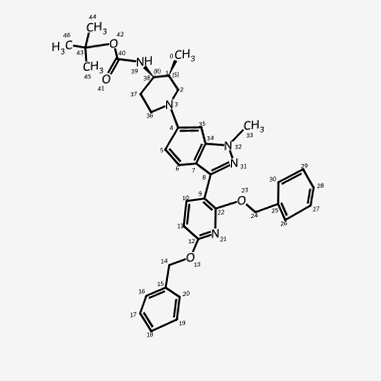 C[C@H]1CN(c2ccc3c(-c4ccc(OCc5ccccc5)nc4OCc4ccccc4)nn(C)c3c2)CC[C@H]1NC(=O)OC(C)(C)C